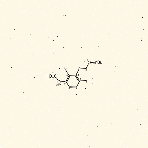 CCCCOCCc1c(C)ccc(OC(=O)O)c1C